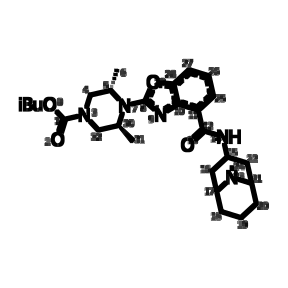 CC(C)COC(=O)N1C[C@H](C)N(c2nc3c(C(=O)NC4CC5CCCC(C4)N5C)cccc3o2)[C@@H](C)C1